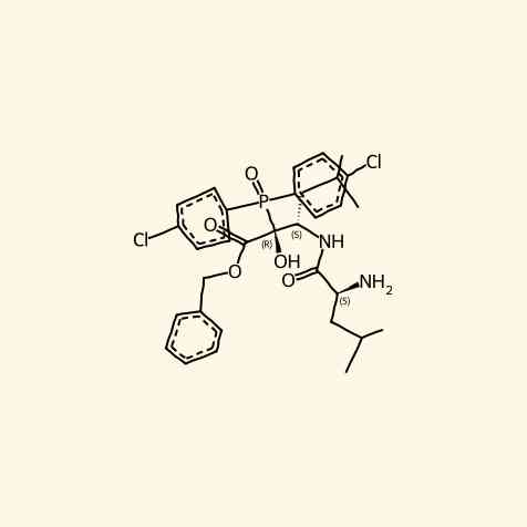 CC(C)C[C@H](NC(=O)[C@@H](N)CC(C)C)[C@](O)(C(=O)OCc1ccccc1)P(=O)(c1ccc(Cl)cc1)c1ccc(Cl)cc1